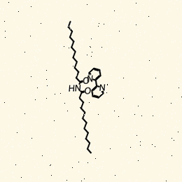 CCCCCCCCCCCCC(=O)NC(=O)CCCCCCCCCCCC.c1ccc(-c2ccccn2)nc1